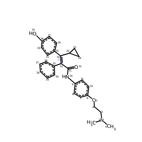 CN(C)CCOc1ccc(NC(=O)/C(=C(/c2ccc(O)cc2)C2CC2)c2ccccc2)cc1